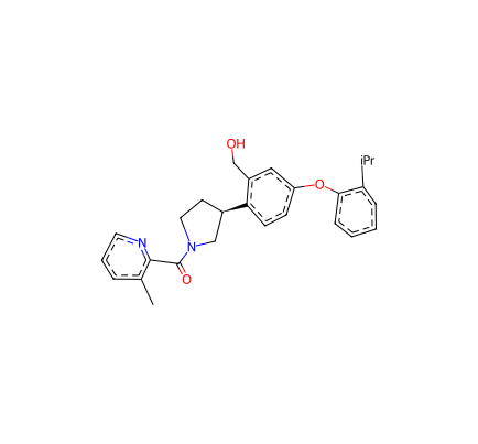 Cc1cccnc1C(=O)N1CC[C@@H](c2ccc(Oc3ccccc3C(C)C)cc2CO)C1